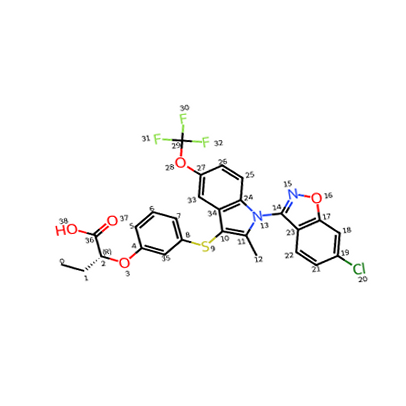 CC[C@@H](Oc1cccc(Sc2c(C)n(-c3noc4cc(Cl)ccc34)c3ccc(OC(F)(F)F)cc23)c1)C(=O)O